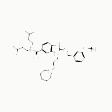 CC(C)CCN(CCC(C)C)C(=O)c1ccc2nc(NCc3cccc(OC(F)(F)F)c3)n(CCCN3CCCCC3)c2c1